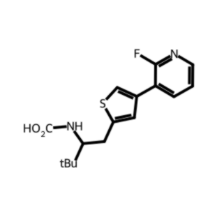 CC(C)(C)C(Cc1cc(-c2cccnc2F)cs1)NC(=O)O